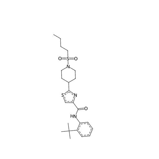 CCCCS(=O)(=O)N1CCC(c2nc(C(=O)Nc3ccccc3C(C)(C)C)cs2)CC1